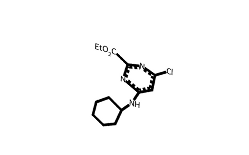 CCOC(=O)c1nc(Cl)cc(NC2CCCCC2)n1